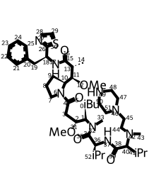 CC[C@H](C)C([C@@H](CC(=O)N1CCC[C@H]1[C@H](OC)[C@@H](C)C(=O)N[C@@H](Cc1ccccc1)c1nccs1)OC)N(C)C(=O)[C@@H](NC(=O)C(C(C)C)N(C)CCN1CCNCC1)C(C)C